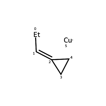 CCC=C1CC1.[Cu]